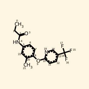 CCC(=O)Nc1ccc(Oc2ccc(C(F)(F)F)cn2)c(C)c1